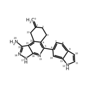 C=C1CCc2c(-c3ccc4cc[nH]c4c3)nc3[nH]nc(N)c3c2C1